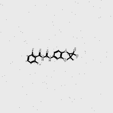 CC1(C)C(Oc2ccc(NC(=O)NC(=O)c3c(F)cccc3F)cc2Cl)C1(Cl)Cl